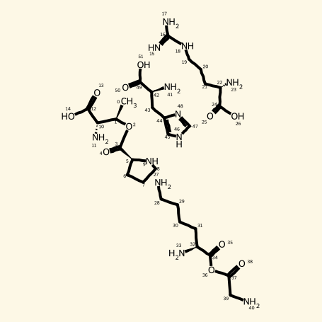 C[C@@H](OC(=O)[C@@H]1CCCN1)[C@H](N)C(=O)O.N=C(N)NCCC[C@H](N)C(=O)O.NCCCC[C@H](N)C(=O)OC(=O)CN.N[C@@H](Cc1c[nH]cn1)C(=O)O